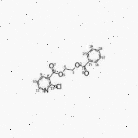 O=C(OCCOC(=O)c1cccnc1Cl)c1ccccc1